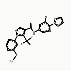 CSc1cccc(-n2ncc(C(=O)Nc3cnc(-n4nccn4)c(Cl)c3)c2C(F)(F)F)c1